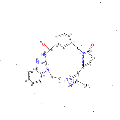 Cc1nn2c(C)c1-c1ccc(=O)n(n1)Cc1cccc(c1)C(=O)Nc1nc3ccccc3n1CC2